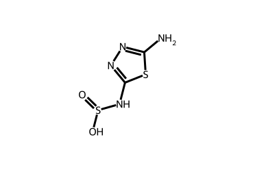 Nc1nnc(NS(=O)O)s1